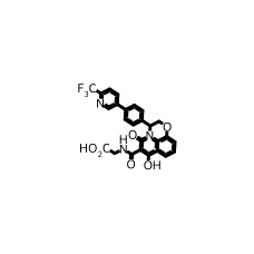 O=C(O)CNC(=O)c1c(O)c2cccc3c2n(c1=O)C(c1ccc(-c2ccc(C(F)(F)F)nc2)cc1)CO3